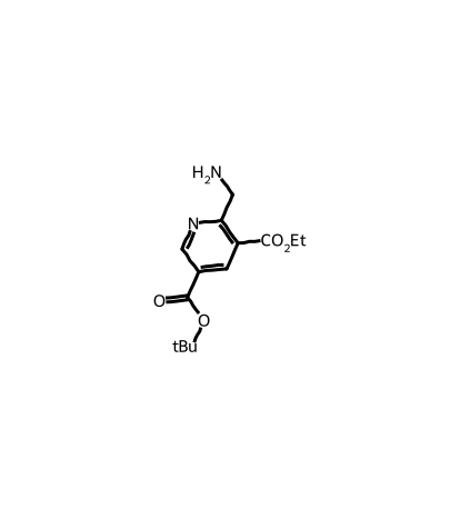 CCOC(=O)c1cc(C(=O)OC(C)(C)C)cnc1CN